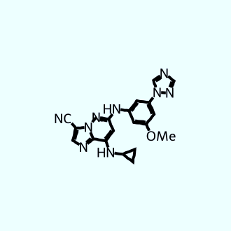 COc1cc(Nc2cc(NC3CC3)c3ncc(C#N)n3n2)cc(-n2cncn2)c1